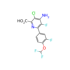 Nc1c(F)c(-c2ccc(OC(F)F)c(F)c2)nc(C(=O)O)c1Cl